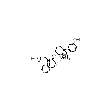 C[C@H]1C2CCCC1(c1cccc(O)c1)CCN2C[C@H](Cc1ccccc1)C(=O)NCC(=O)O